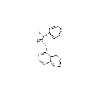 CC(NCc1cccc2ccccc12)c1ccccc1